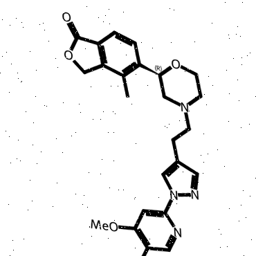 COc1cc(-n2cc(CCN3CCO[C@H](c4ccc5c(c4C)COC5=O)C3)cn2)ncc1C#N